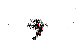 C#CCOc1cnc(C(=O)Nc2ccc(F)c([C@@]3(C)N=C(N(COCC[Si](C)(C)C)C(=O)OC(C)(C)C)S[C@@]4(C(=O)OC)C[C@H]43)c2)cn1